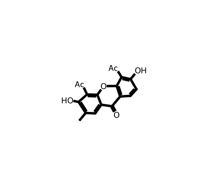 CC(=O)c1c(O)ccc2c(=O)c3cc(C)c(O)c(C(C)=O)c3oc12